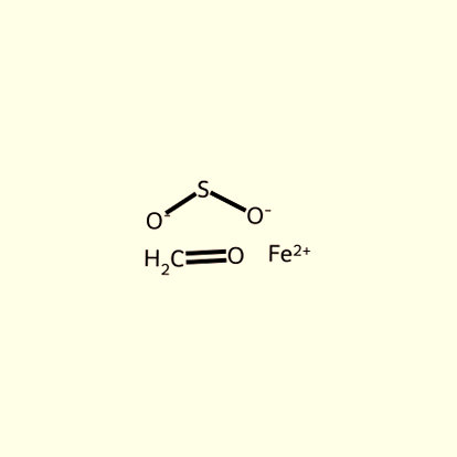 C=O.[Fe+2].[O-]S[O-]